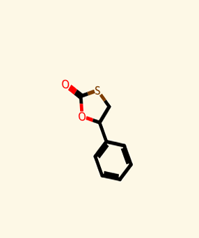 O=C1OC(c2ccccc2)CS1